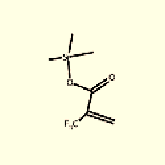 C=C(C(=O)O[Si](C)(C)C)C(F)(F)F